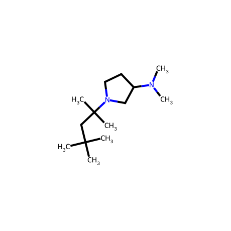 CN(C)C1CCN(C(C)(C)CC(C)(C)C)C1